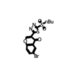 CCCCS(=O)(=O)c1nnc(-c2coc3ccc(Br)cc3c2=O)s1